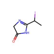 CC(I)C1=NCC(=O)N1